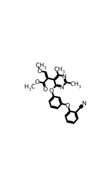 CO/C=C(\C(=O)OC)c1c(C)nc(C)nc1Oc1cccc(Oc2ccccc2C#N)c1